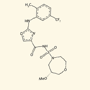 CO[C@H]1COCCN(S(=O)(=O)NC(=O)c2coc(Nc3cc(C(F)(F)F)ccc3C)n2)C1